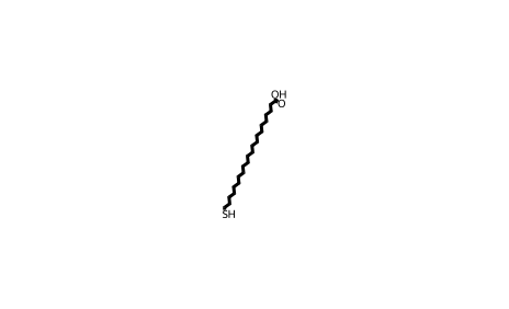 O=C(O)CCCCCCCCCCCCCCCCCCCCCS